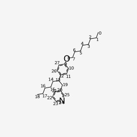 CCCCCCCCOc1ccc(C(CCCCC)Cc2cccnc2)cc1